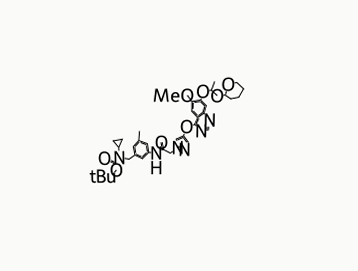 COc1cc2c(Oc3cnn(CC(=O)Nc4cc(C)cc(CN(C(=O)OC(C)(C)C)C5CC5)c4)c3)ncnc2cc1OC(C)OC1CCCCO1